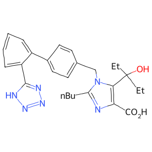 CCCCc1nc(C(=O)O)c(C(O)(CC)CC)n1Cc1ccc(-c2ccccc2-c2nnn[nH]2)cc1